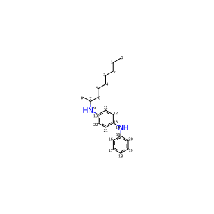 CCCCCCCC(C)Nc1ccc(Nc2ccccc2)cc1